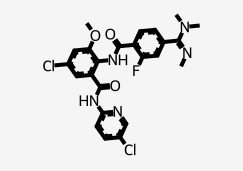 C/N=C(\c1ccc(C(=O)Nc2c(OC)cc(Cl)cc2C(=O)Nc2ccc(Cl)cn2)c(F)c1)N(C)C